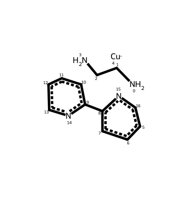 NCCN.[Cu].c1ccc(-c2ccccn2)nc1